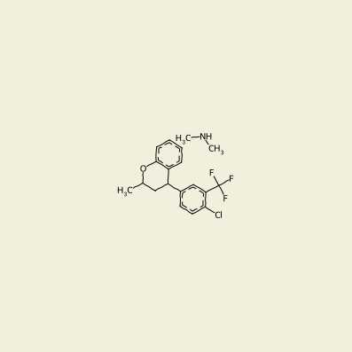 CC1CC(c2ccc(Cl)c(C(F)(F)F)c2)c2ccccc2O1.CNC